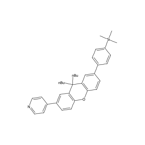 CCCCC1(CCCC)c2cc(-c3ccncc3)ccc2Oc2ccc(-c3ccc([Si](C)(C)C)cc3)cc21